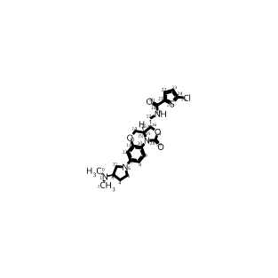 CN(C)[C@@H]1CCN(c2ccc3c(c2)OC[C@H]2[C@H](CNC(=O)c4ccc(Cl)s4)OC(=O)N32)C1